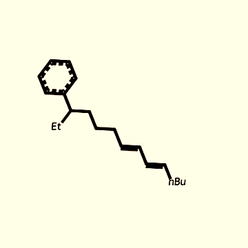 CCCCC=CC=CCCCC(CC)c1ccccc1